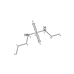 CCCNS(=O)(=O)NCC